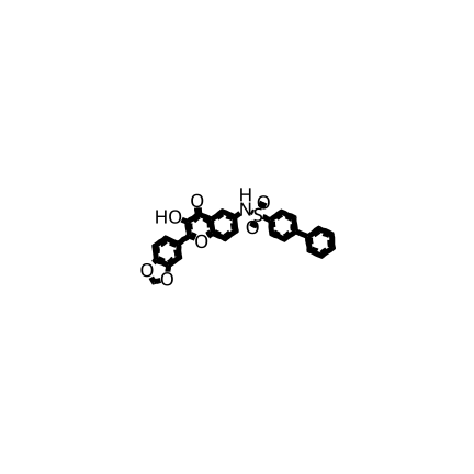 O=c1c(O)c(-c2ccc3c(c2)OCO3)oc2ccc(NS(=O)(=O)c3ccc(-c4ccccc4)cc3)cc12